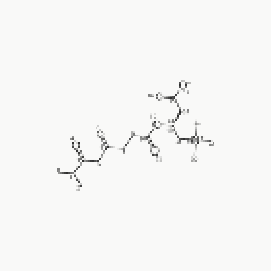 CC(C)C(=O)CC(=O)CCC(=O)O[C@@H](CC(=O)[O-])C[N+](C)(C)C